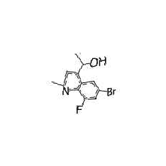 Cc1cc(C(C)O)c2cc(Br)cc(F)c2n1